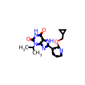 CC(C)n1c(=O)[nH]c(=O)c2[nH]c(-c3cccnc3OCC3CC3)nc21